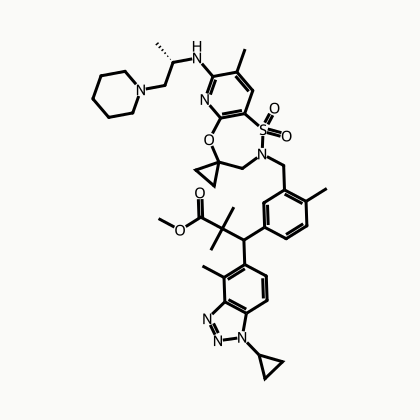 COC(=O)C(C)(C)C(c1ccc(C)c(CN2CC3(CC3)Oc3nc(N[C@@H](C)CN4CCCCC4)c(C)cc3S2(=O)=O)c1)c1ccc2c(nnn2C2CC2)c1C